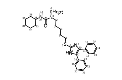 CCCCCCCN(CCCCCSc1nc(-c2ccccc2)c(-c2ccccc2)[nH]1)C(=O)NC1CCCCC1